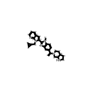 C=C(c1ccc2c(c1)nc(-c1cc3cccnc3n1CC1CC1)n2C)N1CCC2CCNC2C1